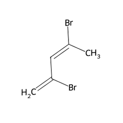 C=C(Br)/C=C(\C)Br